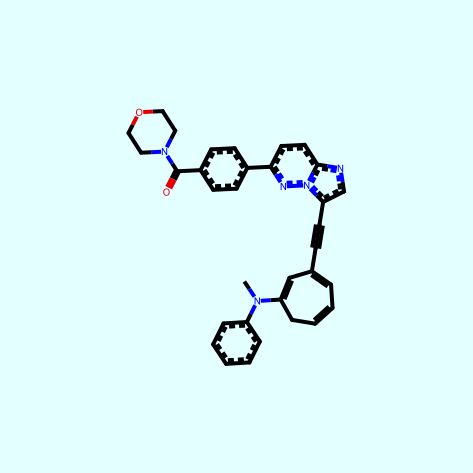 CN(C1=CC(C#Cc2cnc3ccc(-c4ccc(C(=O)N5CCOCC5)cc4)nn23)=CC=CC1)c1ccccc1